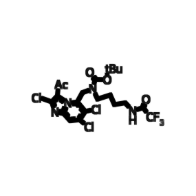 CC(=O)c1c(Cl)nc2cc(Cl)c(Cl)c(CN(CCCCNC(=O)C(F)(F)F)C(=O)OC(C)(C)C)n12